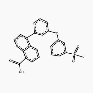 CS(=O)(=O)c1cccc(Oc2cccc(-c3ccnc4c(C(N)=O)cccc34)c2)c1